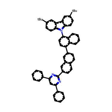 CC(C)(C)c1ccc2c(c1)c1cc(C(C)(C)C)ccc1n2-c1ccc(-c2ccc3ccc(-c4nc(-c5ccccc5)cc(-c5ccccc5)n4)cc3c2)c2ccccc12